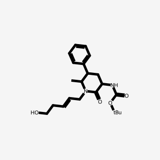 CC1C(c2ccccc2)CC(NC(=O)OC(C)(C)C)C(=O)N1CC=CCCO